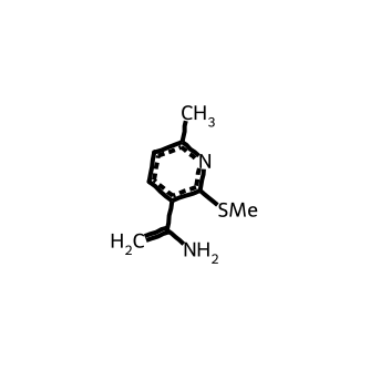 C=C(N)c1ccc(C)nc1SC